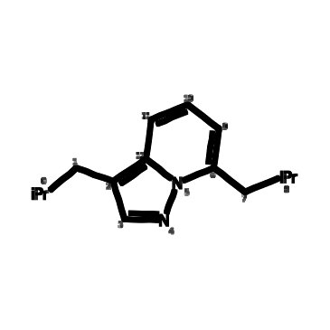 CC(C)Cc1cnn2c(CC(C)C)cccc12